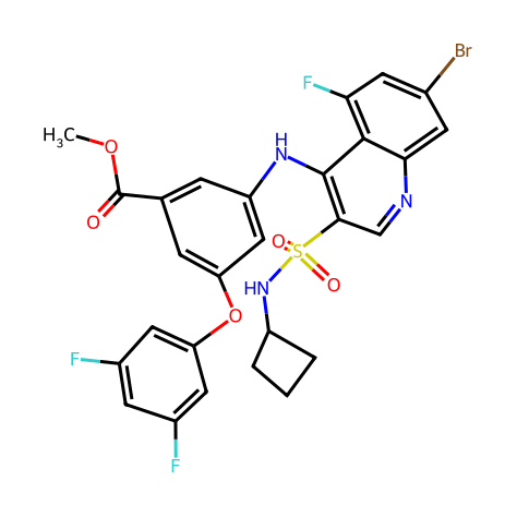 COC(=O)c1cc(Nc2c(S(=O)(=O)NC3CCC3)cnc3cc(Br)cc(F)c23)cc(Oc2cc(F)cc(F)c2)c1